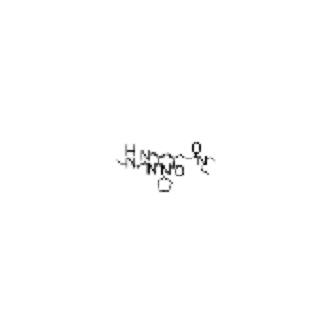 CCNCc1ncc2cc(CCC(=O)N(CC)CC)c(=O)n(C3CCCC3)c2n1